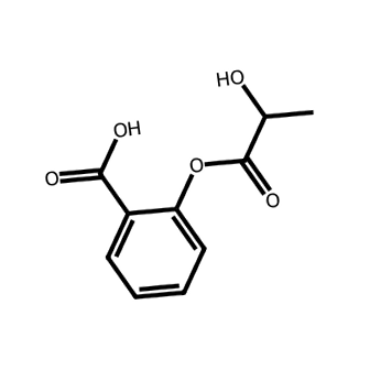 CC(O)C(=O)Oc1ccccc1C(=O)O